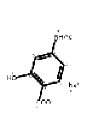 CC(=O)Nc1ccc(C(=O)[O-])c(O)c1.[Na+]